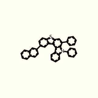 c1ccc(-c2cc3sc4ccc(-c5ccc6ccccc6c5)cc4c3c3c4ccccc4n(-c4ccccc4)c23)cc1